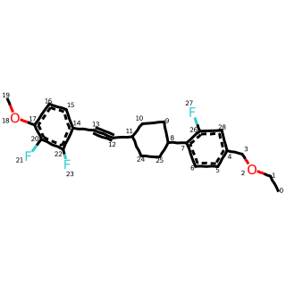 CCOCc1ccc(C2CCC(C#Cc3ccc(OC)c(F)c3F)CC2)c(F)c1